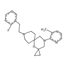 Cc1cccnc1N1CC2(CCN(CCc3ccccc3F)CC2)OC2(CC2)C1